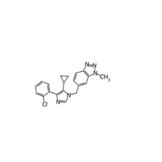 Cn1nnc2ccc(Cn3cnc(-c4ccccc4Cl)c3C3CC3)cc21